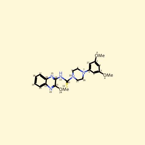 COc1cc(OC)cc(N2CCN(C(=S)Nc3nc4ccccc4nc3OC)CC2)c1